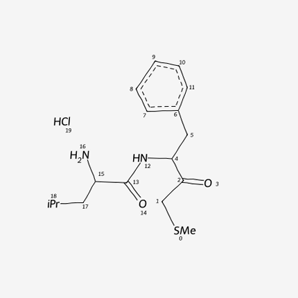 CSCC(=O)C(Cc1ccccc1)NC(=O)C(N)CC(C)C.Cl